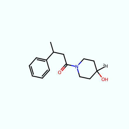 [2H]C1(O)CCN(C(=O)CC(C)c2ccccc2)CC1